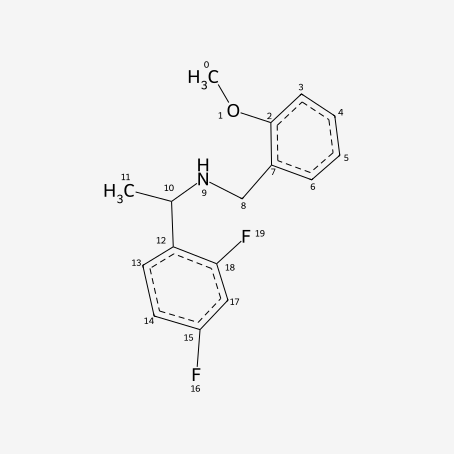 COc1ccccc1CNC(C)c1ccc(F)cc1F